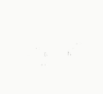 Cn1cc(B2OC(C)(C)C(C)(C)O2)c(-c2ccccc2)cc1=O